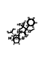 CO[C@@](C(=O)N[C@H]1[C@H]2CC[C@H](C2)[C@@H]1C(C)C)(c1ccccc1)C(F)(F)F